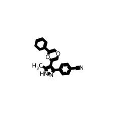 Cc1[nH]nc(-c2ccc(C#N)cc2)c1C1=COC=C(C2=CC=CCC2)O1